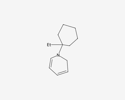 CCC1(N2C=CC=CC2)CCCCC1